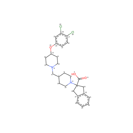 O=C(O)C1(N2CCC(CN3CCC(Oc4ccc(Cl)c(Cl)c4)CC3)CC2)Cc2ccccc2C1